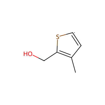 Cc1c[c]sc1CO